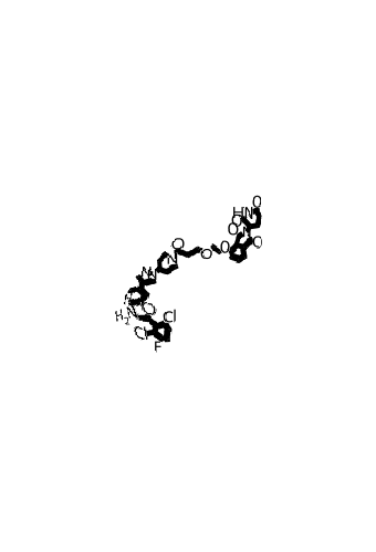 CC(Oc1cc(-c2cnn(C3CCN(C(=O)CCOCCOc4cccc5c4C(=O)N(C4CCC(=O)NC4=O)C5=O)CC3)c2)cnc1N)c1c(Cl)ccc(F)c1Cl